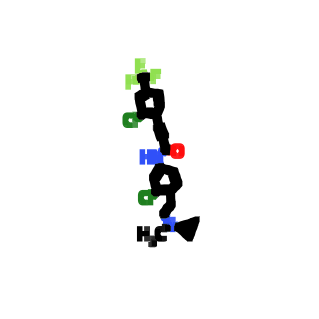 CN(CCc1ccc(NC(=O)C#Cc2ccc(C(F)(F)F)cc2Cl)cc1Cl)C1CC1